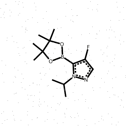 CC(C)n1ncc(F)c1B1OC(C)(C)C(C)(C)O1